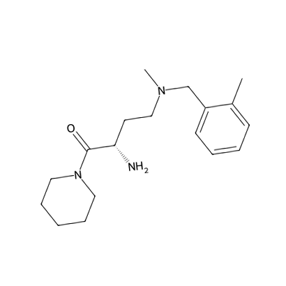 Cc1ccccc1CN(C)CC[C@H](N)C(=O)N1CCCCC1